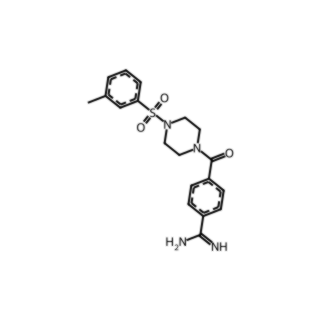 Cc1cccc(S(=O)(=O)N2CCN(C(=O)c3ccc(C(=N)N)cc3)CC2)c1